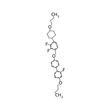 C=CCCOc1ccc(-c2ccc(OCc3ccc(C4CCC(OCCCC)CC4)c(F)c3F)cc2)c(F)c1